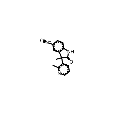 [C-]#[N+]c1ccc2c(c1)C(C)(c1cccnc1C)C(=O)N2